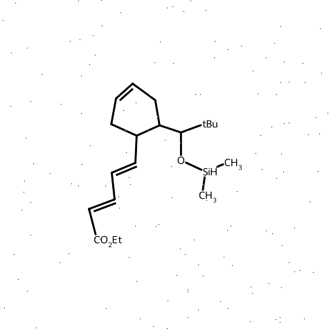 CCOC(=O)C=CC=CC1CC=CCC1C(O[SiH](C)C)C(C)(C)C